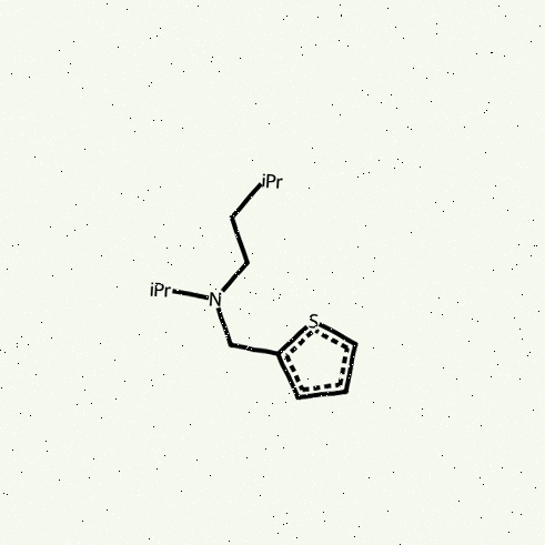 CC(C)CCN(Cc1cccs1)C(C)C